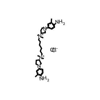 Cc1cc(N2CCC([N+](C)(C)CCCCCC[N+](C)(C)C3CCN(c4ccc(N)c(C)c4)C3)C2)ccc1N.[Cl-].[Cl-]